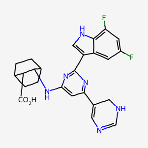 O=C(O)C1C2CCC(CC2)C1Nc1cc(C2=CN=CNC2)nc(-c2c[nH]c3c(F)cc(F)cc23)n1